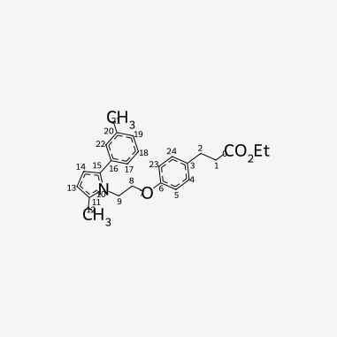 CCOC(=O)CCc1ccc(OCCn2c(C)ccc2-c2cccc(C)c2)cc1